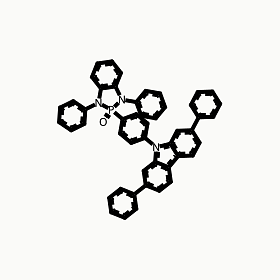 O=P1(c2ccc(-n3c4cc(-c5ccccc5)ccc4c4ccc(-c5ccccc5)cc43)cc2)N(c2ccccc2)c2ccccc2N1c1ccccc1